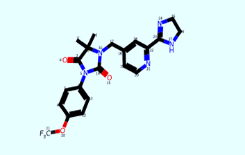 CC1(C)C(=O)N(c2ccc(OC(F)(F)F)cc2)C(=O)N1Cc1ccnc(C2=NCCN2)c1